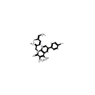 C=C(/C=C\C(F)=C/C)Cn1c(=O)c(C(=O)OCC)c(O)c2cc(-c3ccc(F)cc3)cnc21